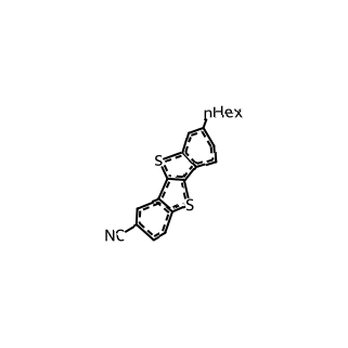 CCCCCCc1ccc2c(c1)sc1c3cc(C#N)ccc3sc21